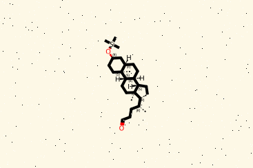 C[C@H](CCC=O)[C@H]1CC[C@H]2[C@@H]3CC[C@@H]4C[C@H](O[Si](C)(C)C)CC[C@]4(C)[C@H]3CC[C@]12C